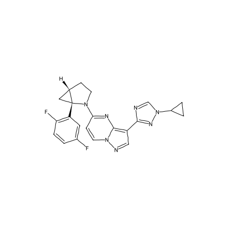 Fc1ccc(F)c([C@@]23C[C@@H]2CCN3c2ccn3ncc(-c4ncn(C5CC5)n4)c3n2)c1